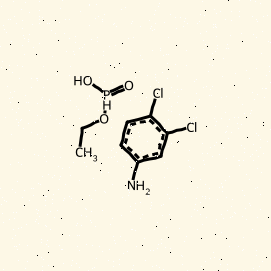 CCO[PH](=O)O.Nc1ccc(Cl)c(Cl)c1